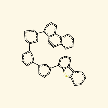 c1c2ccccc2c2cccc(-c3cccc(-c4cccc(-c5cccc(-c6cccc7c6sc6ccccc67)c5)c4)c3)c2c#1